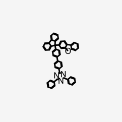 c1ccc(-c2nc(-c3ccccc3)nc(-c3ccc(-c4ccc(C5(c6ccc7c(c6)oc6ccccc67)c6ccccc6-c6ccccc65)cc4)cc3)n2)cc1